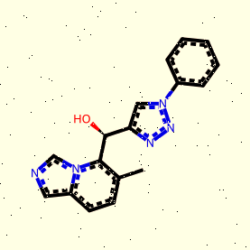 Cc1ccc2cncn2c1[C@@H](O)c1cn(-c2ccccc2)nn1